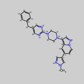 Cn1cc(-c2ccn3ncc(N4CCN(c5ncc(Cc6ccccc6)cn5)CC4)c3c2)cn1